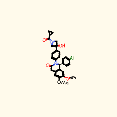 COc1cc2c(cc1OC(C)C)[C@H](c1ccc(Cl)cc1)N(c1ccc(C3(O)CN(C(=O)C4CC4)C3)cc1)C(=O)C2